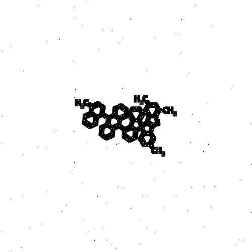 Cc1ccc2c(c1)-c1sc3c(C)cc(C)cc3c1C21c2ccccc2-c2c(-c3c4ccccc4c(-c4ccc(C)c5ccccc45)c4ccccc34)cccc21